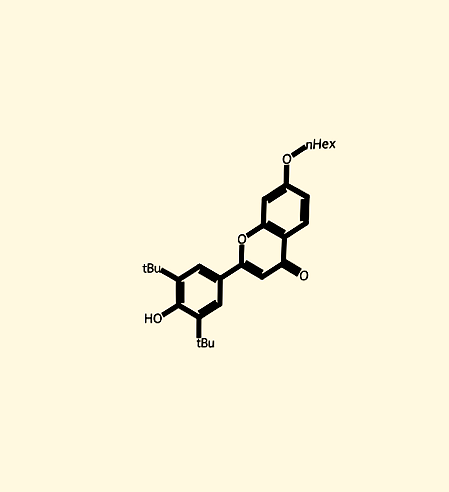 CCCCCCOc1ccc2c(=O)cc(-c3cc(C(C)(C)C)c(O)c(C(C)(C)C)c3)oc2c1